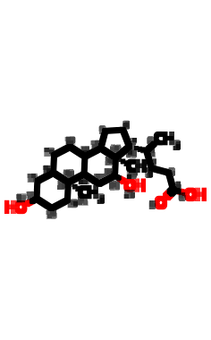 CC(CCC(=O)O)[C@H]1CCC2C3CCC4CC(O)CC[C@]4(C)C3C[C@H](O)[C@@]21C